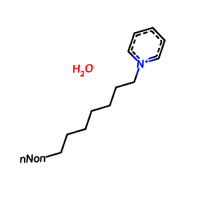 CCCCCCCCCCCCCCCC[n+]1ccccc1.O